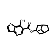 CN1C2CCC1CC(OC(=O)c1cnc3ccsc3c1O)C2